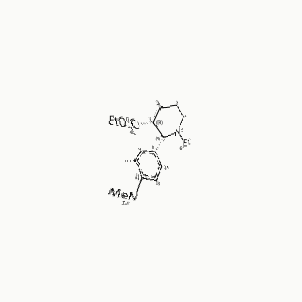 CCOC(=O)[C@@H]1CCCN(CC)[C@@H]1c1ccc(NC)cc1